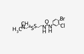 CN(C)CCSSCCNC(=O)Nc1ccc(Br)c(Cl)c1